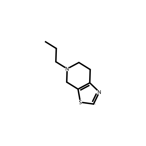 CCCN1CCc2n[c]sc2C1